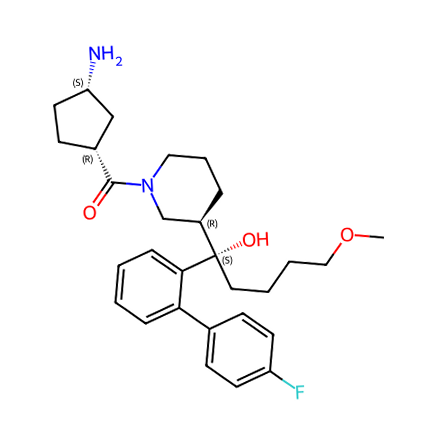 COCCCC[C@@](O)(c1ccccc1-c1ccc(F)cc1)[C@@H]1CCCN(C(=O)[C@@H]2CC[C@H](N)C2)C1